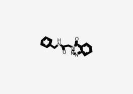 O=C(Cn1nnc2ccccc2c1=O)NCc1ccccc1